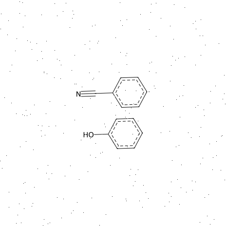 N#Cc1cc[c]cc1.Oc1ccccc1